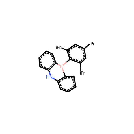 CC(C)c1cc(C(C)C)c(B2c3ccccc3Nc3ccccc32)c(C(C)C)c1